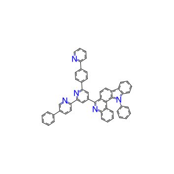 c1ccc(-c2ccc(-c3cc(-c4nc5ccccc5c5c4ccc4c6ccccc6n(-c6ccccc6)c45)cc(-c4ccc(-c5ccccn5)cc4)n3)nc2)cc1